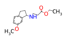 CCOC(=O)CCNC1CCc2ccc(OC)cc21